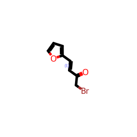 O=C(/C=C/c1ccco1)CBr